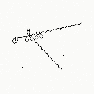 CCCCCCCCC=CCCCCCCCC(=O)OCCC(NC(=O)CCCN1CCCC1)OC(=O)CCCCCCCC=CCCCCCCCC